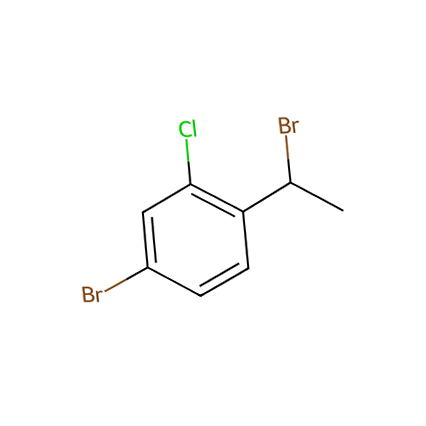 CC(Br)c1ccc(Br)cc1Cl